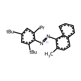 Cc1ccc2ccccc2c1/N=N/c1c(C(C)C)cc(C(C)(C)C)cc1C(C)(C)C